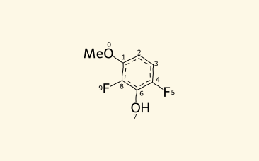 COc1ccc(F)c(O)c1F